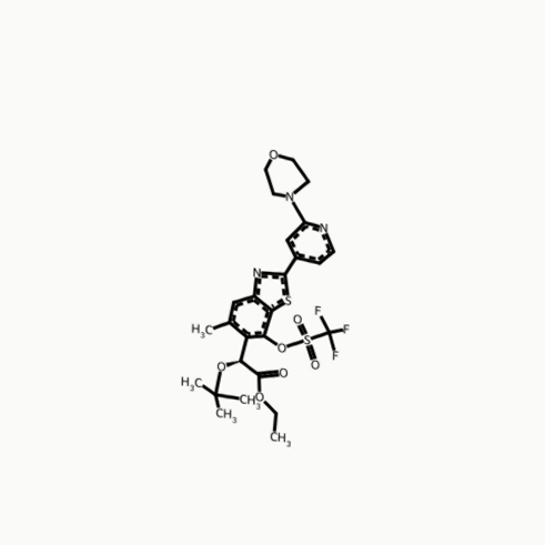 CCOC(=O)[C@@H](OC(C)(C)C)c1c(C)cc2nc(-c3ccnc(N4CCOCC4)c3)sc2c1OS(=O)(=O)C(F)(F)F